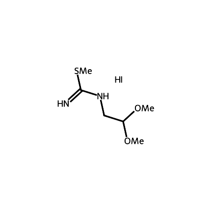 COC(CNC(=N)SC)OC.I